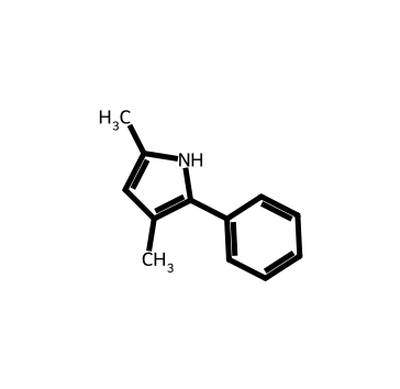 Cc1cc(C)c(-c2ccccc2)[nH]1